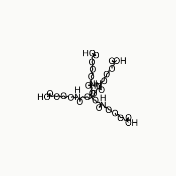 O=C(O)CCOCCOCCOCCNC(=O)CCOCC(COCCC(=O)NCCOCCOCCOCCC(=O)O)(COCCC(=O)NCCOCCOCCOCCC(=O)O)COCCC(=O)NCCOCCOCCOCCC(=O)O